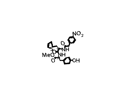 COC(=O)[C@H](Cc1ccc(O)cc1)NC(=O)[C@H](CC1CC=CS1)NC(=O)Cc1ccc([N+](=O)[O-])cc1